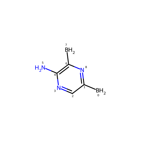 Bc1cnc(N)c(B)n1